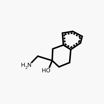 NCC1(O)CCc2ccccc2C1